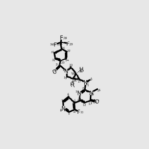 CN(c1nc(-c2ccncc2F)cc(=O)n1C)C1[C@H]2CN(C(=O)c3ccc(C(F)(F)F)cc3)C[C@@H]12